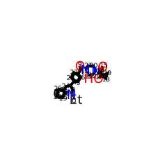 CCN1CC(c2ccc(C(=O)N3CCN(C(=O)C4(O)CC4)CC3)cc2)Cc2ccccc21